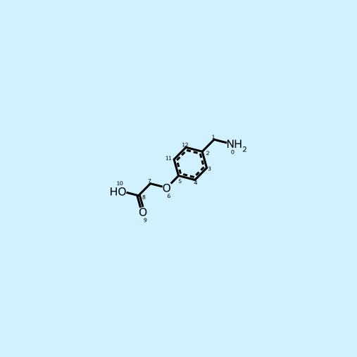 NCc1ccc(OCC(=O)O)cc1